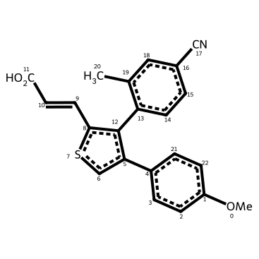 COc1ccc(-c2csc(C=CC(=O)O)c2-c2ccc(C#N)cc2C)cc1